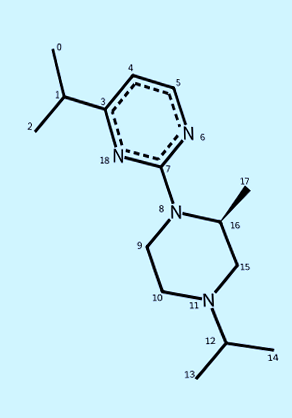 CC(C)c1ccnc(N2CCN(C(C)C)C[C@@H]2C)n1